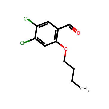 CCCCOc1cc(Cl)c(Cl)cc1C=O